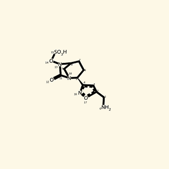 NCc1cc([C@@H]2CCC3CN2C(=O)N3OS(=O)(=O)O)no1